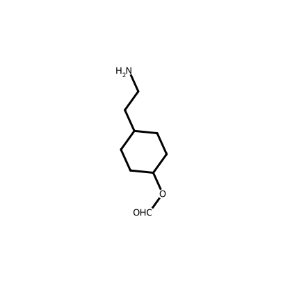 NCCC1CCC(OC=O)CC1